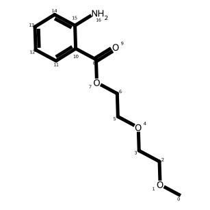 COCCOCCOC(=O)c1ccccc1N